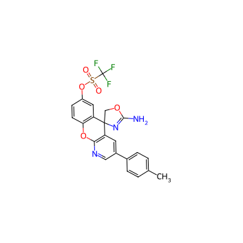 Cc1ccc(-c2cnc3c(c2)C2(COC(N)=N2)c2cc(OS(=O)(=O)C(F)(F)F)ccc2O3)cc1